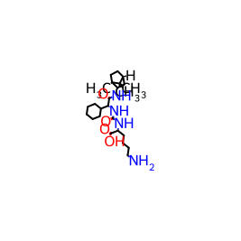 CC1(C)[C@@H]2CC[C@@]1(C)[C@@H](NC(=O)[C@H](NC(=O)NC(CCCCN)C(=O)O)C1CCCCC1)C2